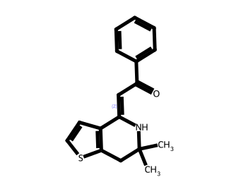 CC1(C)Cc2sccc2/C(=C/C(=O)c2ccccc2)N1